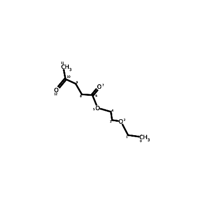 CCOCCOC(=O)CCC(C)=O